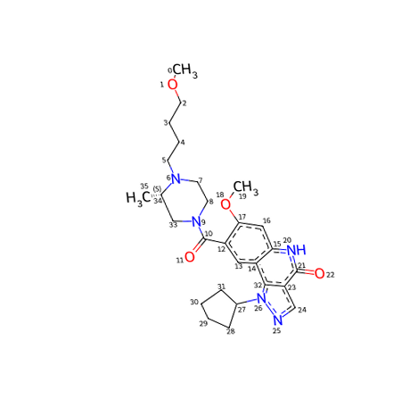 COCCCCN1CCN(C(=O)c2cc3c(cc2OC)[nH]c(=O)c2cnn(C4CCCC4)c23)C[C@@H]1C